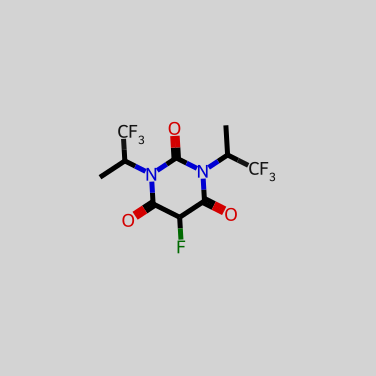 CC(N1C(=O)C(F)C(=O)N(C(C)C(F)(F)F)C1=O)C(F)(F)F